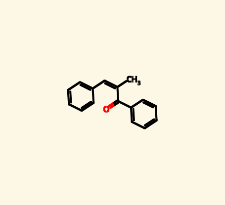 CC(=Cc1ccccc1)C(=O)c1ccccc1